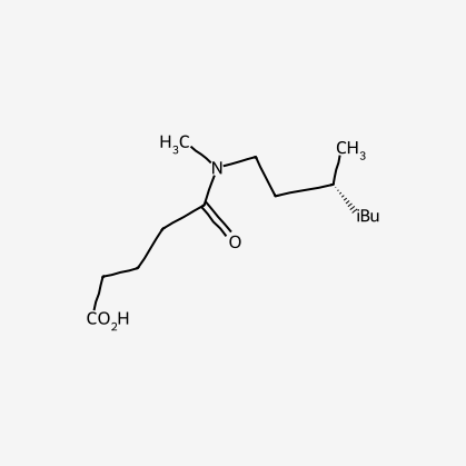 CCC(C)[C@@H](C)CCN(C)C(=O)CCCC(=O)O